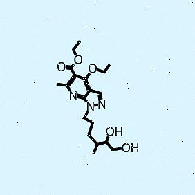 CCOC(=O)c1c(C)nc2c(cnn2CCCC(C)C(O)CO)c1OCC